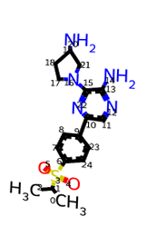 CC(C)S(=O)(=O)c1ccc(-c2cnc(N)c(N3CCC(N)C3)n2)cc1